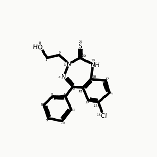 OCCN1N=C(c2ccccc2)c2cc(Cl)ccc2NC1=S